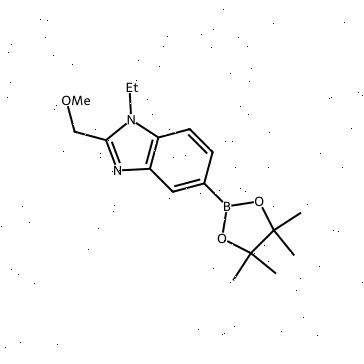 CCn1c(COC)nc2cc(B3OC(C)(C)C(C)(C)O3)ccc21